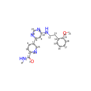 CNC(=O)c1ccc(-c2cc(NCCc3ccccc3OC)ncn2)cn1